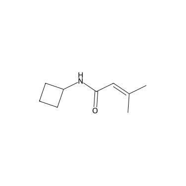 CC(C)=CC(=O)NC1CCC1